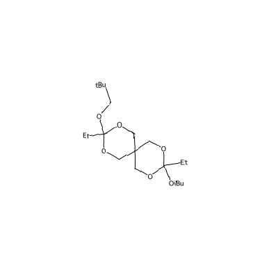 CCC1(OCC(C)C)OCC2(CO1)COC(CC)(OCC(C)(C)C)OC2